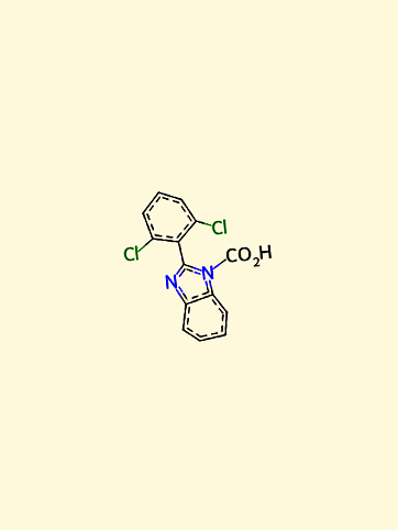 O=C(O)n1c(-c2c(Cl)cccc2Cl)nc2ccccc21